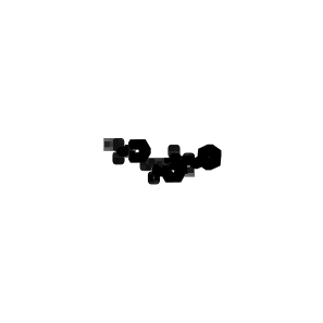 O=C(NO[C@@H]1CCCN(C(=O)O)C1)[C@@H]1CC[C@@H]2CN1C(=O)N2OCc1ccccc1